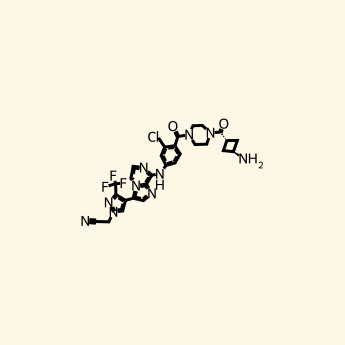 N#CCn1cc(-c2cnc3c(Nc4ccc(C(=O)N5CCN(C(=O)[C@H]6C[C@H](N)C6)CC5)c(Cl)c4)nccn23)c(C(F)(F)F)n1